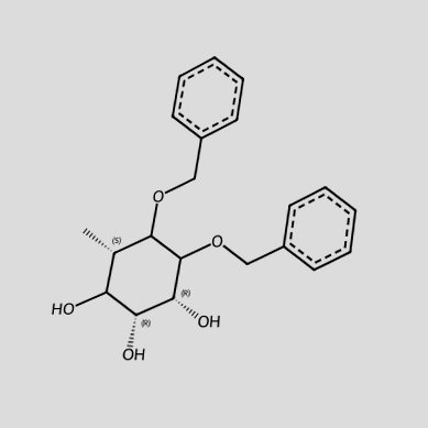 C[C@@H]1C(OCc2ccccc2)C(OCc2ccccc2)[C@H](O)[C@H](O)C1O